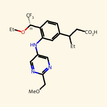 CCO[C@@H](c1ccc(C(CC)CC(=O)O)cc1Nc1cnc(COC)nc1)C(F)(F)F